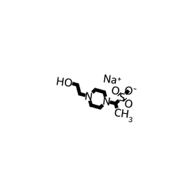 CC(N1CCN(CCO)CC1)S(=O)(=O)[O-].[Na+]